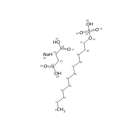 CCCCCCCCCCCCOS(=O)(=O)O.O=C(O)CCC(=O)O.[NaH]